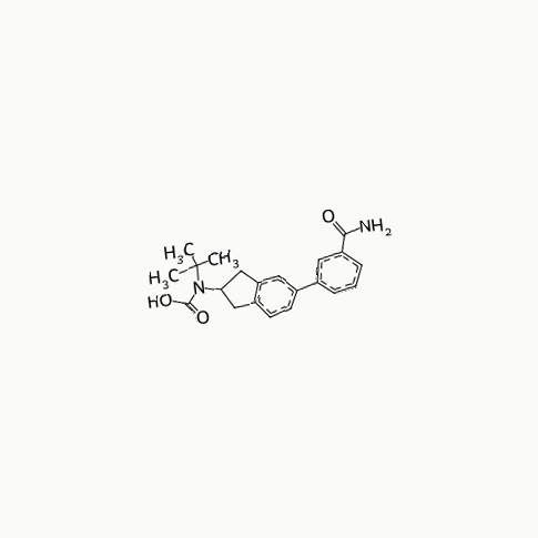 CC(C)(C)N(C(=O)O)C1Cc2ccc(-c3cccc(C(N)=O)c3)cc2C1